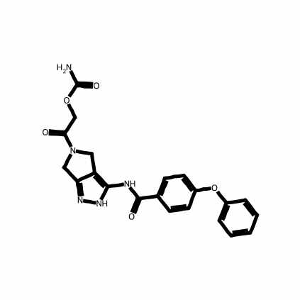 NC(=O)OCC(=O)N1Cc2n[nH]c(NC(=O)c3ccc(Oc4ccccc4)cc3)c2C1